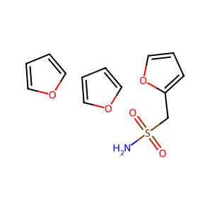 NS(=O)(=O)Cc1ccco1.c1ccoc1.c1ccoc1